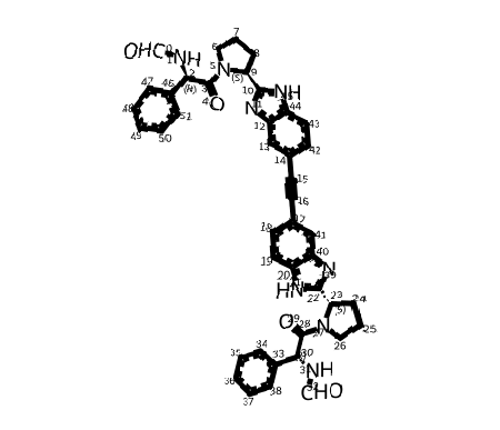 O=CN[C@@H](C(=O)N1CCC[C@H]1c1nc2cc(C#Cc3ccc4[nH]c([C@@H]5CCCN5C(=O)[C@H](NC=O)c5ccccc5)nc4c3)ccc2[nH]1)c1ccccc1